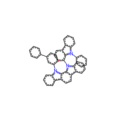 c1ccc(-c2cccc(-n3c4ccccc4c4ccc5c6ccccc6n(-c6cccc7c8ccccc8n(-c8ccccc8)c67)c5c43)c2)cc1